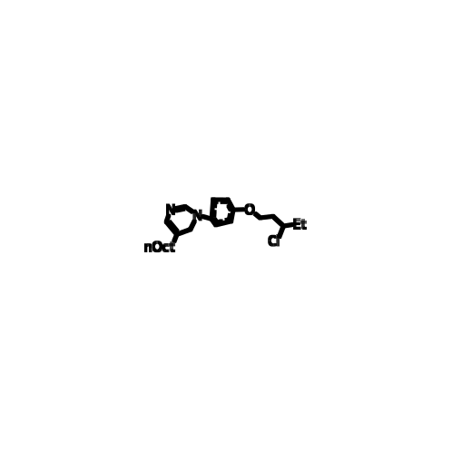 CCCCCCCCC1=CN=CN(c2ccc(OCCC(Cl)CC)cc2)C1